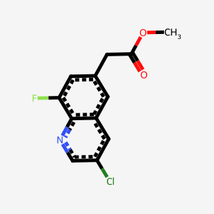 COC(=O)Cc1cc(F)c2ncc(Cl)cc2c1